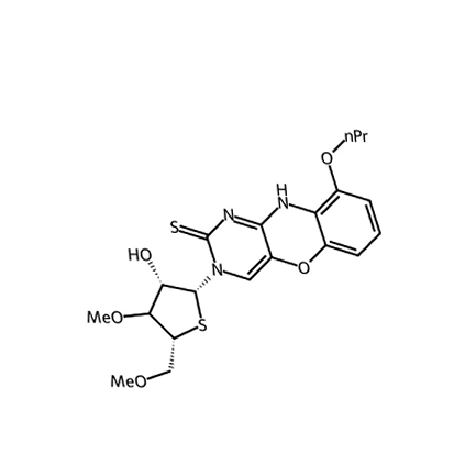 CCCOc1cccc2c1Nc1nc(=S)n([C@@H]3S[C@H](COC)C(OC)[C@@H]3O)cc1O2